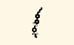 C=CC(=O)N(C)C1CCC(COc2ccc(-c3ccc(CCCCC)cc3)cc2F)CC1